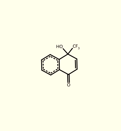 O=C1C=CC(O)(C(F)(F)F)c2ccccc21